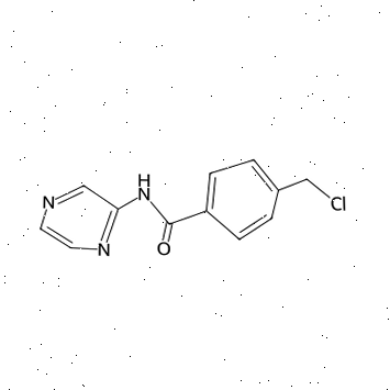 O=C(Nc1cnccn1)c1ccc(CCl)cc1